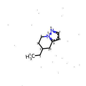 CCC1CCn2nccc2C1